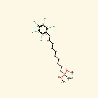 CO[Si](CCCCCCCCCCc1c(F)c(F)c(F)c(F)c1F)(OC(C)C)OC(C)C